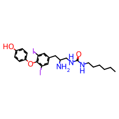 CCCCCCNC(=O)NCC(N)Cc1cc(I)c(Oc2ccc(O)cc2)c(I)c1